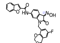 O=C(Nc1ccc2c(c1)N(Cc1cc(F)cc3c1OCOC3)C(=O)/C2=N\O)c1cc2ccccc2o1